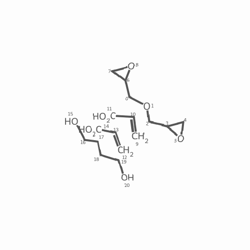 C(OCC1CO1)C1CO1.C=CC(=O)O.C=CC(=O)O.OCCCCO